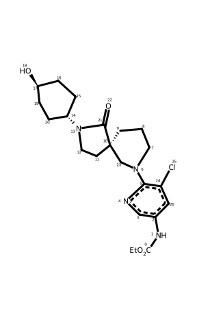 CCOC(=O)Nc1cnc(N2CCC[C@@]3(CCN([C@H]4CC[C@H](O)CC4)C3=O)C2)c(Cl)c1